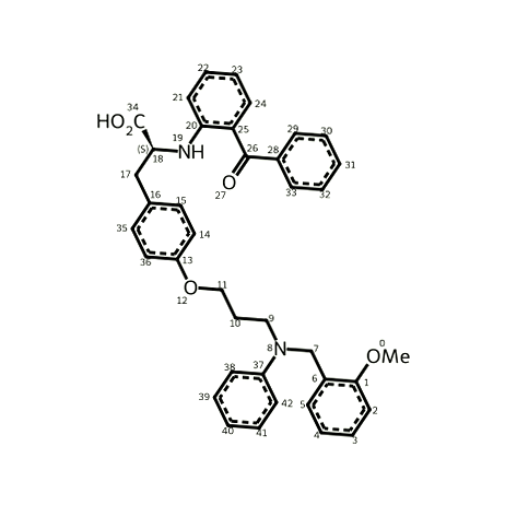 COc1ccccc1CN(CCCOc1ccc(C[C@H](Nc2ccccc2C(=O)c2ccccc2)C(=O)O)cc1)c1ccccc1